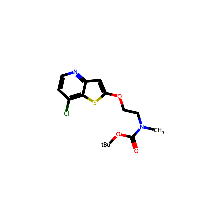 CN(CCOc1cc2nccc(Cl)c2s1)C(=O)OC(C)(C)C